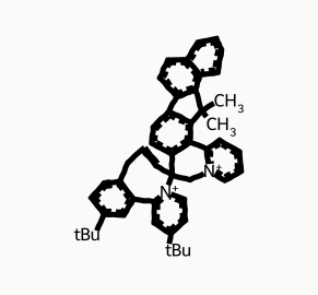 CC(C)(C)c1ccc2c(c1)-c1cc(C(C)(C)C)cc[n+]1C1(/C=C/C2)C[n+]2ccccc2-c2c1ccc1c2C(C)(C)c2c-1ccc1ccccc21